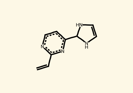 C=Cc1nccc(C2NC=CN2)n1